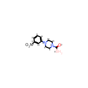 BC(=O)N1CCN(c2cccc([N+](=O)[O-])c2)CC1